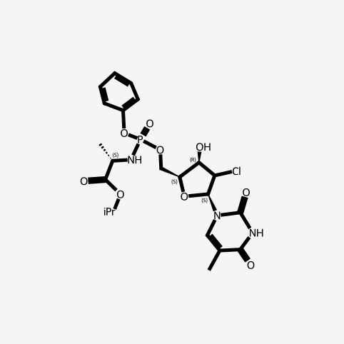 Cc1cn([C@H]2O[C@@H](COP(=O)(N[C@@H](C)C(=O)OC(C)C)Oc3ccccc3)[C@@H](O)C2Cl)c(=O)[nH]c1=O